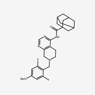 COc1cc(F)c(CN2CCc3c(ncnc3NC(=O)C34CC5CC(CC(C5)C3)C4)C2)c(F)c1